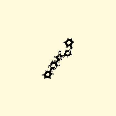 c1ccc(CN2CC[C@@H](c3nc(-c4cnc(-c5ccccc5)nc4)c[nH]3)C2)cc1